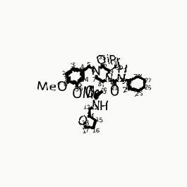 COc1ccc(CN2C[C@@H](CC(=O)NCC3CCCO3)N(C(=O)NC3CCCCC3)[C@H](CC(C)C)C2=O)cc1OC